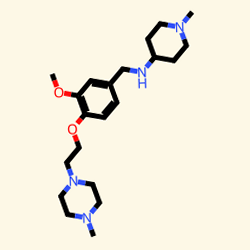 COc1cc(CNC2CCN(C)CC2)ccc1OCCN1CCN(C)CC1